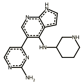 Nc1nccc(-c2cnc3[nH]ccc3c2NC2CCCNC2)n1